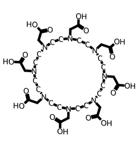 O=C(O)CN1CCN(CC(=O)O)CCN(CC(=O)O)CCN(CC(=O)O)CCN(CC(=O)O)CCN(CC(=O)O)CCN(CC(=O)O)CCN(CC(=O)O)CC1